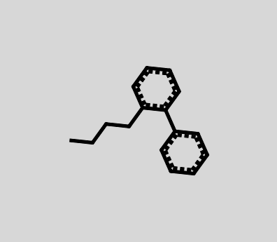 CCCCc1ccccc1-c1ccccc1